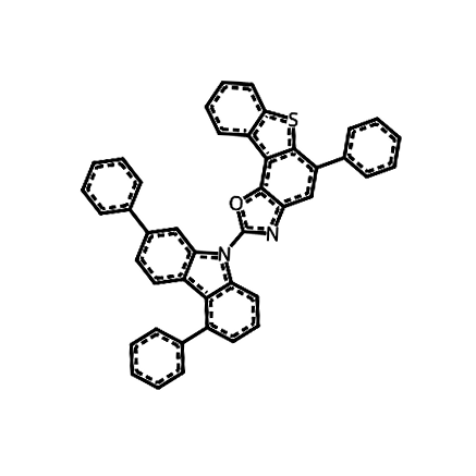 c1ccc(-c2ccc3c4c(-c5ccccc5)cccc4n(-c4nc5cc(-c6ccccc6)c6sc7ccccc7c6c5o4)c3c2)cc1